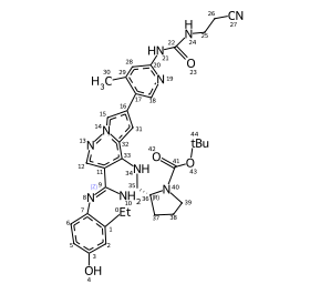 CCc1cc(O)ccc1/N=C(\N)c1cnn2cc(-c3cnc(NC(=O)NCCC#N)cc3C)cc2c1NC[C@H]1CCCN1C(=O)OC(C)(C)C